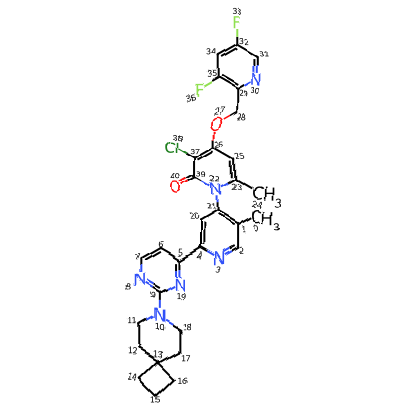 Cc1cnc(-c2ccnc(N3CCC4(CCC4)CC3)n2)cc1-n1c(C)cc(OCc2ncc(F)cc2F)c(Cl)c1=O